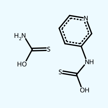 NC(O)=S.OC(=S)Nc1cccnc1